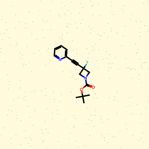 CC(C)(C)OC(=O)N1CC(F)(C#Cc2ccccn2)C1